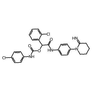 N=C1CCCCN1c1ccc(NC(=O)C(OC(=O)Nc2ccc(Cl)cc2)c2ccccc2Cl)cc1